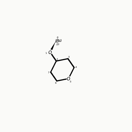 CC[C@H](C)OC1CCOCC1